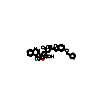 CC(C)(C)C(CC(CC(=O)c1cc2cc(OCC3CCCC3)ccc2o1)(C(=O)O)C(=O)O)(n1nnc2ccccc2c1=O)C(C)(C)C